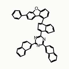 c1ccc(-c2ccc3c(c2)oc2cccc(-c4ccc(-c5nc(-c6ccc7ccccc7c6)nc(-c6ccc7ccccc7c6)n5)c5ccccc45)c23)cc1